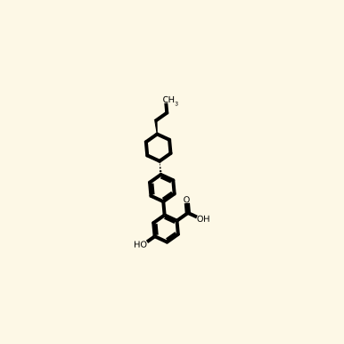 CCC[C@H]1CC[C@H](c2ccc(-c3cc(O)ccc3C(=O)O)cc2)CC1